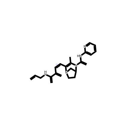 C=CCNC(=C)C(=C)/C=C\C1=C(C)N(C(=C)Nc2ccccn2)C2CCN1C2